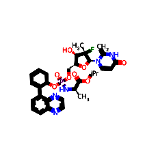 C=C1NC(=O)C=CN1[C@@H]1O[C@H](COP(=O)(N[C@@H](C)C(=O)OC(C)C)OC2CC=CC=C2c2cccc3nccnc23)[C@@H](O)[C@@]1(C)F